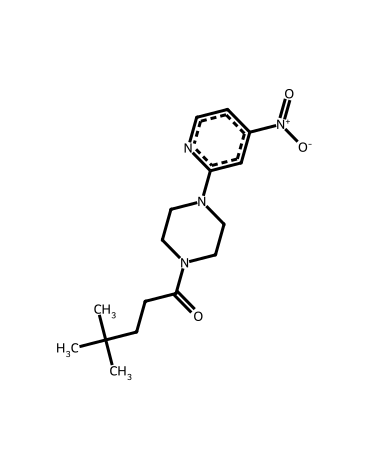 CC(C)(C)CCC(=O)N1CCN(c2cc([N+](=O)[O-])ccn2)CC1